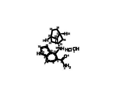 Cl.Cl.NC(=O)c1cnc2[nH]ccc2c1N[C@H]1C[C@H]2CC[C@@H](C1)N2